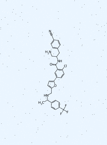 CC(NCc1ccc(-c2ccc(Cl)c(C(=O)NC(CN)Cc3ccc(C#N)cc3)c2)o1)c1ccc(C(F)(F)F)cc1